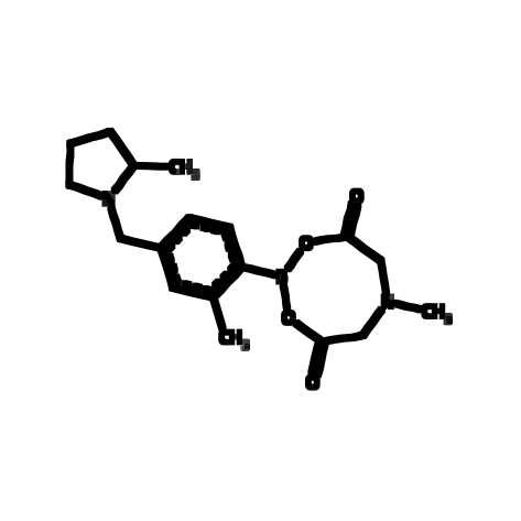 Cc1cc(CN2CCCC2C)ccc1B1OC(=O)CN(C)CC(=O)O1